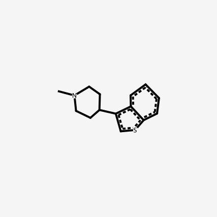 CN1CCC(c2csc3ccccc23)CC1